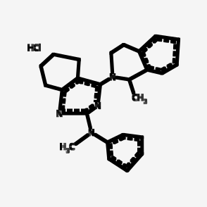 CC1c2ccccc2CCN1c1nc(N(C)c2ccccc2)nc2c1CCCC2.Cl